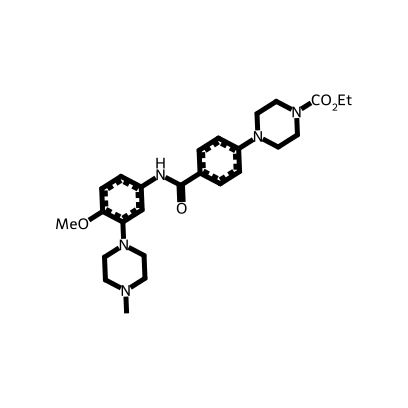 CCOC(=O)N1CCN(c2ccc(C(=O)Nc3ccc(OC)c(N4CCN(C)CC4)c3)cc2)CC1